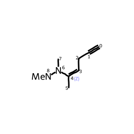 C#CC/C=C(/C)N(C)NC